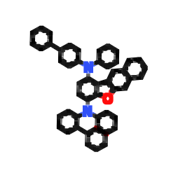 c1ccc(-c2ccc(N(c3ccccc3)c3ccc(N(c4ccccc4)c4ccccc4-c4ccccc4)c4oc5cc6ccccc6cc5c34)cc2)cc1